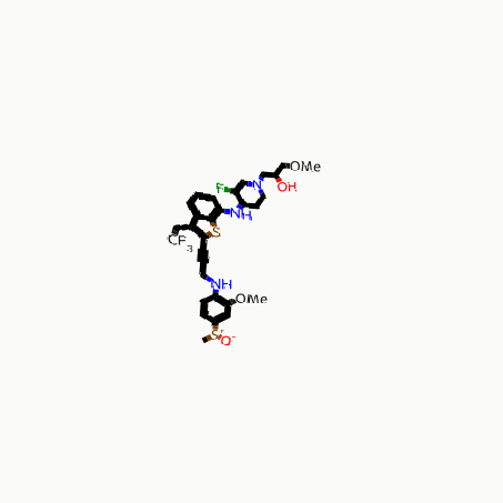 COCC(O)CN1CCC(Nc2cccc3c(CC(F)(F)F)c(C#CCNc4ccc([S+](C)[O-])cc4OC)sc23)C(F)C1